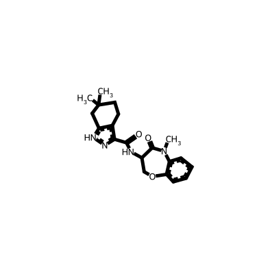 CN1C(=O)C(NC(=O)c2n[nH]c3c2CCC(C)(C)C3)COc2ccccc21